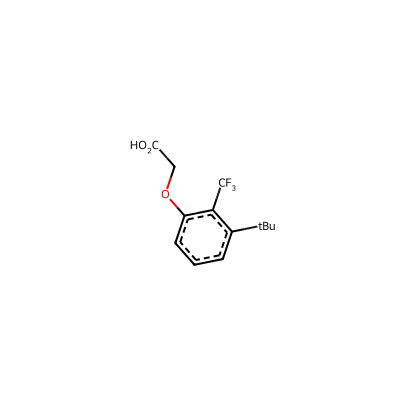 CC(C)(C)c1cccc(OCC(=O)O)c1C(F)(F)F